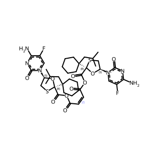 CC(C)CC1([C@@]2(C(=O)OC(=O)/C=C\C(=O)OC(=O)[C@]3(C4(CC(C)C)CCCCC4)O[C@H](n4cc(F)c(N)nc4=O)CS3)O[C@H](n3cc(F)c(N)nc3=O)CS2)CCCCC1